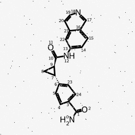 NC(=O)c1ccc([C@@H]2C[C@H]2C(=O)Nc2ccc3cnccc3c2)cc1